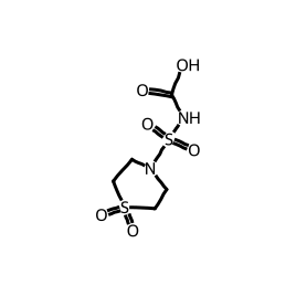 O=C(O)NS(=O)(=O)N1CCS(=O)(=O)CC1